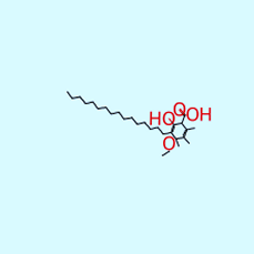 CCCCCCCCCCCCCCCCC1=C(O)C(C(=O)O)C(C)=C(C)C1(C)OCC